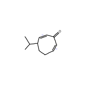 CC(C)C1/C=C\C(=O)/C=C\CC1